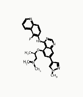 C[C@H](CN(C)C)Oc1cc(-c2cnn(C)c2)cc2ncnc(Nc3ccc4ncccc4c3F)c12